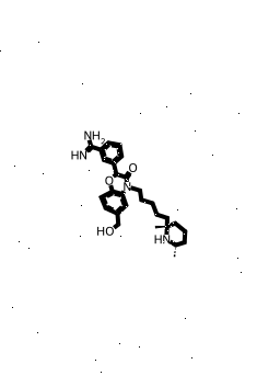 C[C@H]1CCC[C@@](C)(CCCCCN2C(=O)C(c3cccc(C(=N)N)c3)Oc3ccc(CO)cc32)N1